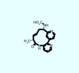 C[C@@H]1/C=C/C[C@H](NC(=O)O)c2cc(ccn2)-c2ncccc2NC1=O